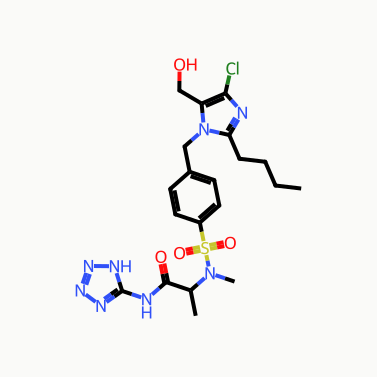 CCCCc1nc(Cl)c(CO)n1Cc1ccc(S(=O)(=O)N(C)C(C)C(=O)Nc2nnn[nH]2)cc1